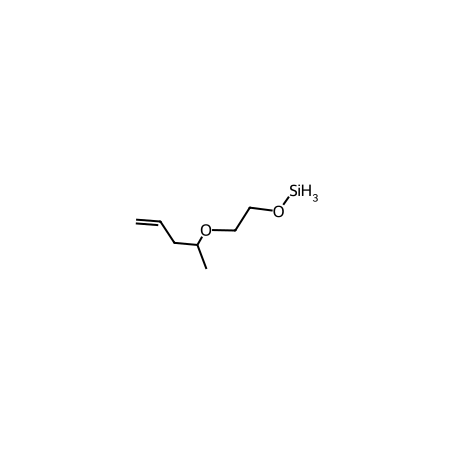 C=CCC(C)OCCO[SiH3]